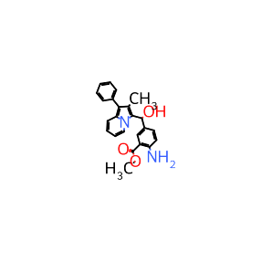 COC(=O)c1cc(C(O)c2c(C)c(-c3ccccc3)c3ccccn23)ccc1N